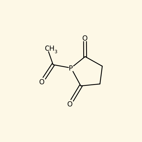 CC(=O)P1C(=O)CCC1=O